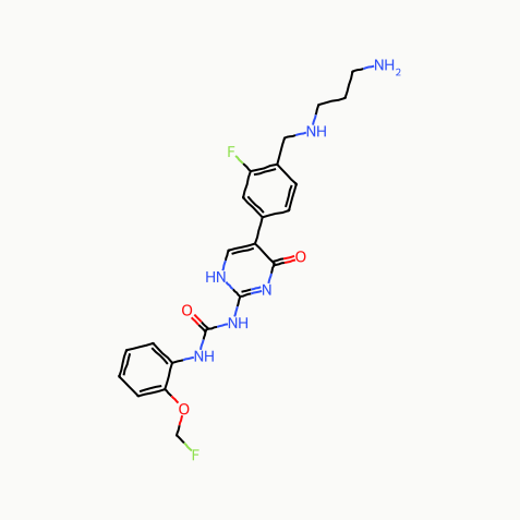 NCCCNCc1ccc(-c2c[nH]c(NC(=O)Nc3ccccc3OCF)nc2=O)cc1F